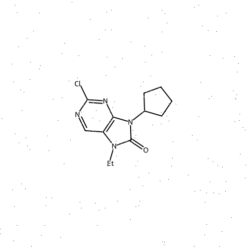 CCn1c(=O)n(C2CCCC2)c2nc(Cl)ncc21